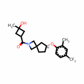 Cc1cc(C(F)(F)F)ccc1O[C@@H]1CCC2(C1)CN(C(=O)C1CC(C)(O)C1)C2